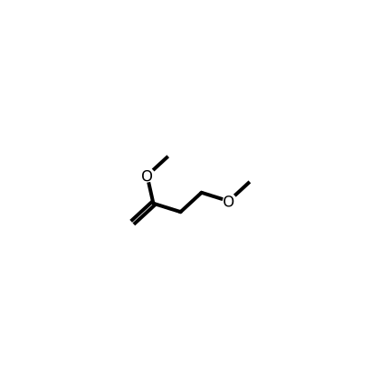 C=C(CCOC)OC